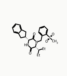 CCC(CC)[C@@H]1C(=O)N[C@H](C2Cc3ccccc3C2)C(=O)N1Cc1ccccc1S(C)(=O)=O